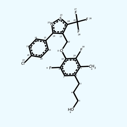 Cc1c(CCCO)cc(F)c(OCc2c(-c3ccc(Cl)cc3)nsc2C(F)(F)F)c1F